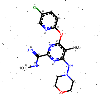 CNc1c(NN2CCOCC2)nc(C(=N)NC(=O)O)nc1Oc1ccc(Cl)cn1